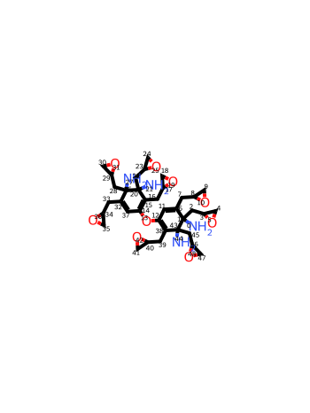 NC1(CC2CO2)C(CC2CO2)=CC(OC2=C(CC3CO3)C(N)(CC3CO3)C(N)(CC3CO3)C(CC3CO3)=C2)=C(CC2CO2)C1(N)CC1CO1